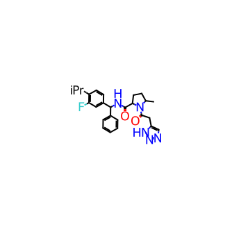 CC(C)c1ccc(C(NC(=O)C2CCC(C)N2C(=O)Cc2cnn[nH]2)c2ccccc2)cc1F